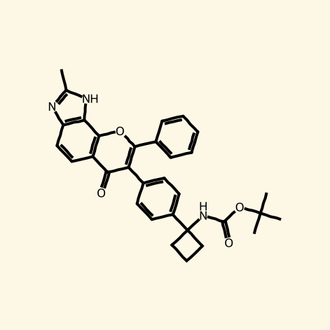 Cc1nc2ccc3c(=O)c(-c4ccc(C5(NC(=O)OC(C)(C)C)CCC5)cc4)c(-c4ccccc4)oc3c2[nH]1